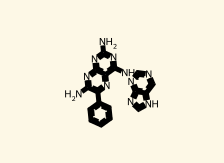 Nc1nc(N)c2nc(-c3ccccc3)c(N)nc2n1.c1ncc2[nH]cnc2n1